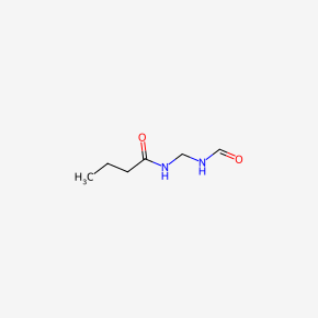 CCCC(=O)NCNC=O